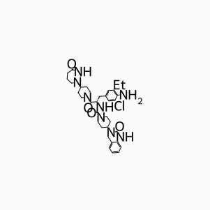 CCc1cc(C[C@@H](NC(=O)N2CCC(N3Cc4ccccc4NC3=O)CC2)C(=O)N2CCC(N3CCCC(=O)NC3)CC2)cc(Cl)c1N